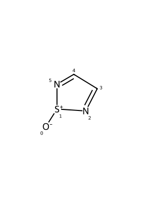 [O-][s+]1nccn1